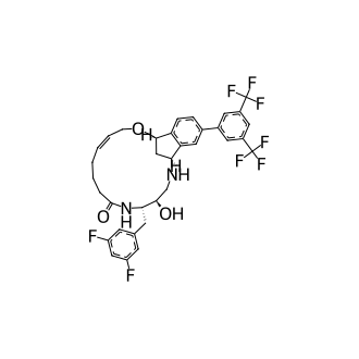 O=C1CCCC=CCO[C@@H]2C[C@H](NC[C@@H](O)[C@H](Cc3cc(F)cc(F)c3)N1)c1cc(-c3cc(C(F)(F)F)cc(C(F)(F)F)c3)ccc12